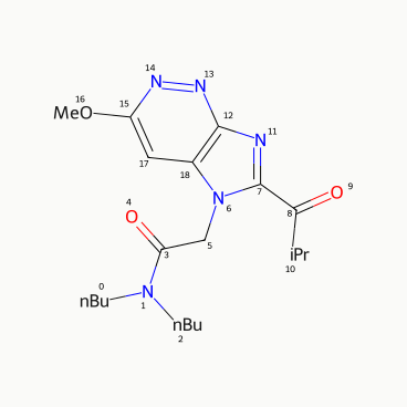 CCCCN(CCCC)C(=O)Cn1c(C(=O)C(C)C)nc2nnc(OC)cc21